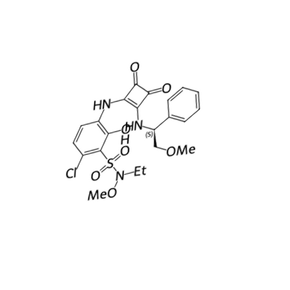 CCN(OC)S(=O)(=O)c1c(Cl)ccc(Nc2c(N[C@H](COC)c3ccccc3)c(=O)c2=O)c1O